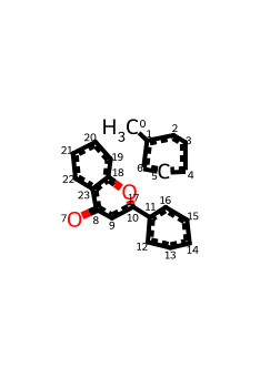 Cc1ccccc1.O=c1cc(-c2ccccc2)oc2ccccc12